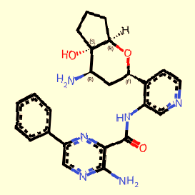 Nc1ncc(-c2ccccc2)nc1C(=O)Nc1cnccc1[C@H]1C[C@@H](N)[C@@]2(O)CCC[C@H]2O1